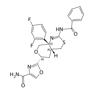 NC(=O)c1coc([C@H]2C[C@H]3CSC(NC(=O)c4ccccc4)=N[C@@]3(c3ccc(F)cc3F)CO2)n1